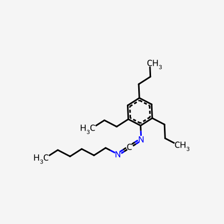 CCCCCCN=C=Nc1c(CCC)cc(CCC)cc1CCC